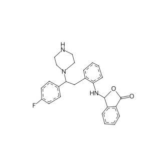 O=C1OC(Nc2ccccc2CC(c2ccc(F)cc2)N2CCNCC2)c2ccccc21